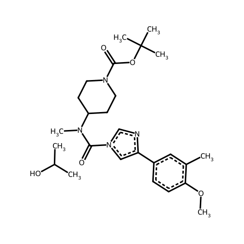 CC(C)O.COc1ccc(-c2cn(C(=O)N(C)C3CCN(C(=O)OC(C)(C)C)CC3)cn2)cc1C